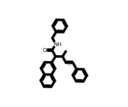 CC(/C=C/c1ccccc1)C(C(=O)NCc1ccccc1)c1ccc2ccccc2c1